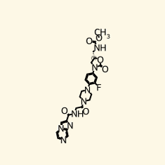 COC(=O)NC[C@H]1CN(c2ccc(N3CCN(C(=O)CNC(=O)c4cn5ccncc5n4)CC3)c(F)c2)C(=O)O1